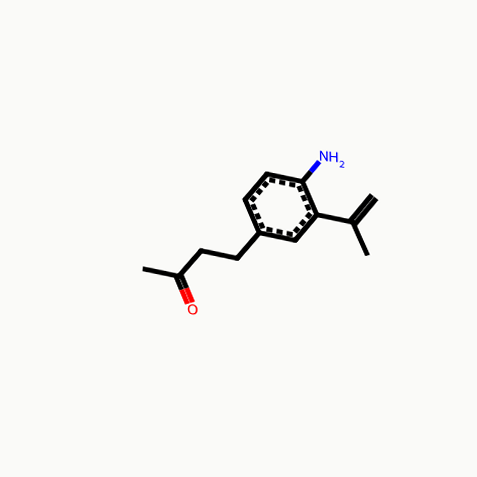 C=C(C)c1cc(CCC(C)=O)ccc1N